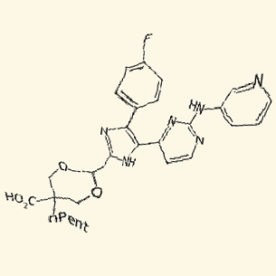 CCCCCC1(C(=O)O)COC(c2nc(-c3ccc(F)cc3)c(-c3ccnc(Nc4cccnc4)n3)[nH]2)OC1